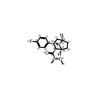 CON(C)C(=O)[C@H]1[C@@H](c2ccc(F)cc2)C[C@@H]2CC[C@H]1N2C